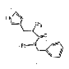 CCN(Cc1ccccc1)C(=O)C(Cc1c[nH]cn1)C(F)(F)F